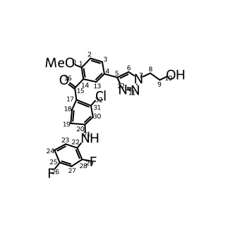 COc1ccc(-c2cn(CCO)nn2)cc1C(=O)c1ccc(Nc2ccc(F)cc2F)cc1Cl